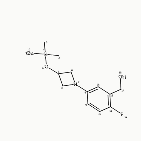 CC(C)(C)[Si](C)(C)OC1CN(c2ccc(F)c(CO)c2)C1